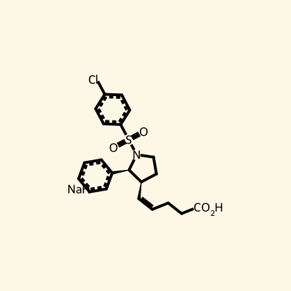 O=C(O)CC/C=C\[C@@H]1CCN(S(=O)(=O)c2ccc(Cl)cc2)[C@@H]1c1ccccc1.[NaH]